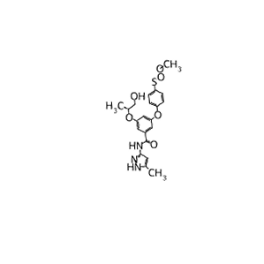 COOSc1ccc(Oc2cc(O[C@@H](C)CO)cc(C(=O)Nc3cc(C)[nH]n3)c2)cc1